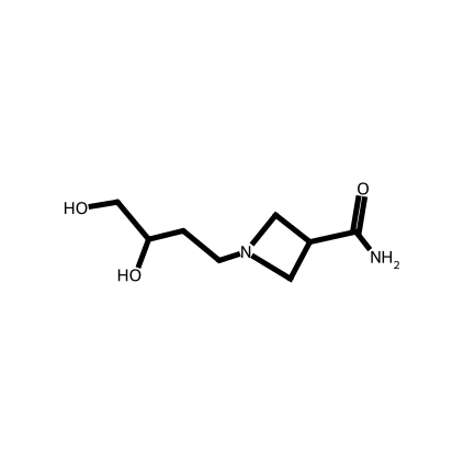 NC(=O)C1CN(CCC(O)CO)C1